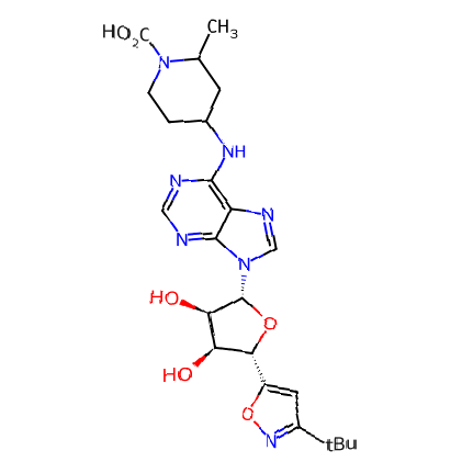 CC1CC(Nc2ncnc3c2ncn3[C@@H]2O[C@H](c3cc(C(C)(C)C)no3)[C@@H](O)[C@H]2O)CCN1C(=O)O